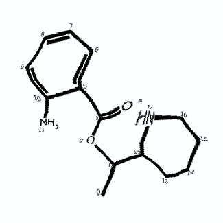 CC(OC(=O)c1ccccc1N)C1CCCCN1